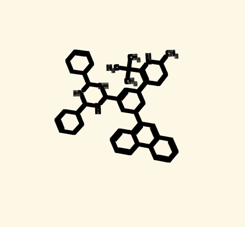 CC1CCC(C2C=C(C3NC(C4CC=CCC4)NC(C4CC=CCC4)N3)CC(C3=C4C=CC=CC4C4C=CC=CC4=C3)C2)=C(C(C)(C)C)N1